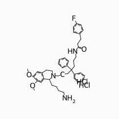 COc1cc2c(cc1OC)C(CCCCN)N(CCCC(CCCNC(=O)CCc1ccc(F)cc1)(c1ccccc1)c1ccccc1)CC2.Cl.Cl